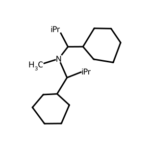 CC(C)C(C1CCCCC1)N(C)C(C(C)C)C1CCCCC1